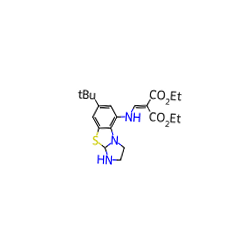 CCOC(=O)C(=CNc1cc(C(C)(C)C)cc2c1N1CCNC1S2)C(=O)OCC